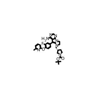 Cc1cccc(Oc2ccc(-c3c4n(c5ncnc(N)c35)CCN4C[C@@H]3CCN(C(=O)OC(C)(C)C)C3)cc2F)n1